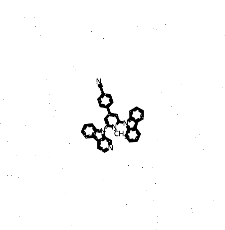 CN1C(n2c3ccccc3c3ccncc32)=CC(c2ccc(C#N)cc2)=CC1n1c2ccccc2c2ccccc21